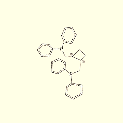 c1ccc(P(C[C@H]2CC[C@H]2CP(c2ccccc2)c2ccccc2)c2ccccc2)cc1